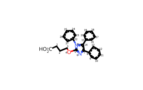 O=C(O)CCCOc1nc(-c2ccccc2)c(-c2ccccc2)n1-c1ccccc1